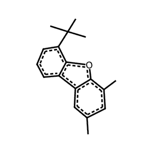 Cc1cc(C)c2oc3c(C(C)(C)C)cccc3c2c1